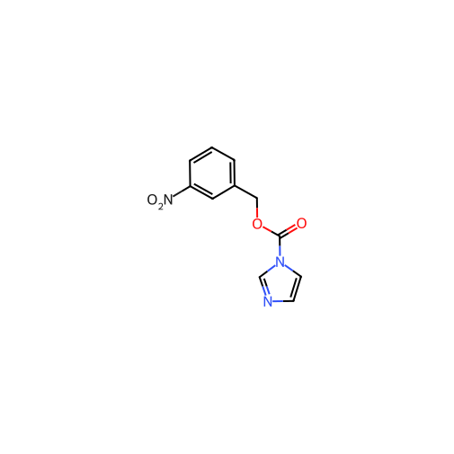 O=C(OCc1cccc([N+](=O)[O-])c1)n1ccnc1